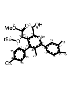 COC(=O)[C@@H](OC(C)(C)C)c1c(CO)nc(-c2ccc(C)c(C)c2)c(C)c1-c1ccc(Cl)cc1